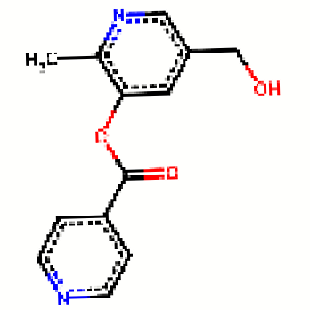 Cc1ncc(CO)cc1OC(=O)c1ccncc1